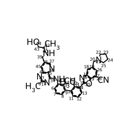 Cc1nc(Nc2cccc(-c3cccc(-c4nc5cc(CN6CCCC6)cc(C#N)c5o4)c3C)c2C)c2ncc(CN[C@@H](C)CO)cc2n1